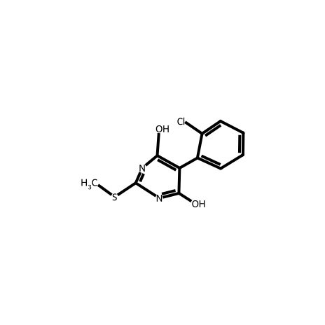 CSc1nc(O)c(-c2ccccc2Cl)c(O)n1